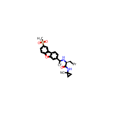 CC(C)C[C@H](NC(c1ccc2c(c1)oc1ccc(S(C)(=O)=O)cc12)C(F)(F)F)C(=O)NC1(C#N)CC1